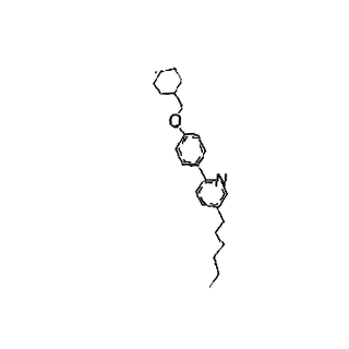 CCCCCCc1ccc(-c2ccc(OCC3CC[CH]CC3)cc2)nc1